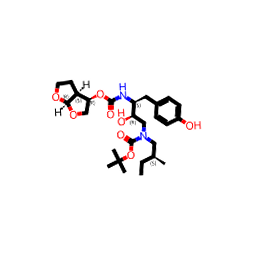 CC[C@H](C)CN(C[C@@H](O)[C@H](Cc1ccc(O)cc1)NC(=O)O[C@H]1CO[C@H]2OCC[C@H]21)C(=O)OC(C)(C)C